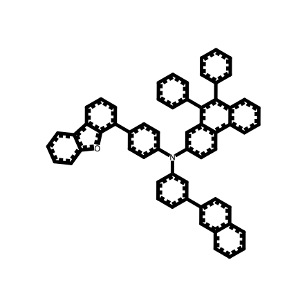 c1ccc(-c2c(-c3ccccc3)c3cc(N(c4ccc(-c5cccc6c5oc5ccccc56)cc4)c4cccc(-c5ccc6ccccc6c5)c4)ccc3c3ccccc23)cc1